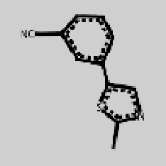 Cc1ncc(-c2cccc(C#N)c2)s1